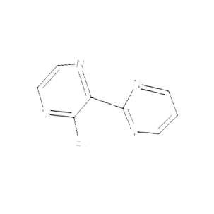 CCc1nccnc1-c1ncccn1